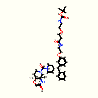 CC(C)(C)OC(=O)NCCOCCC(=O)NCCOc1cccc([C@H](c2ccccc2)C2CCN(C(=O)N3CC[C@@H]4OCC(=O)N[C@@H]4C3)CC2)c1